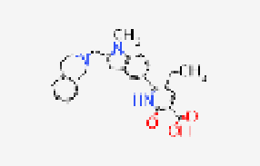 CCc1cc(C(=O)O)c(=O)[nH]c1-c1ccc2c(c1)cc(CN1CCc3ccccc3C1)n2C